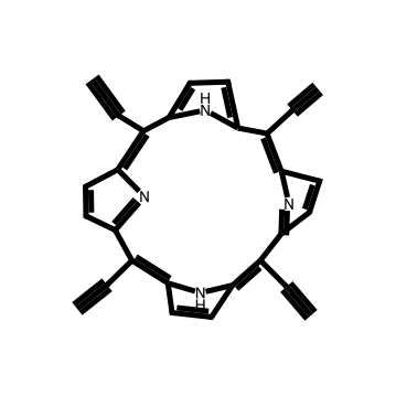 C#Cc1c2nc(c(C#C)c3ccc([nH]3)c(C#C)c3nc(c(C#C)c4ccc1[nH]4)C=C3)C=C2